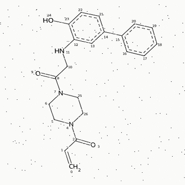 C=CC(=O)N1CCN(C(=O)CNc2cc(-c3ccccc3)ccc2O)CC1